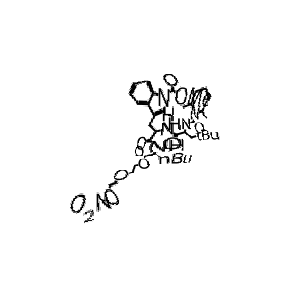 CCCC[C@@H](NC(=O)C(Cc1cn(C(=O)OC)c2ccccc12)NC(=O)C(CC(C)(C)C)NC(=O)N1C(C)CCCC1C)C(=O)OCCOCCO[N+](=O)[O-]